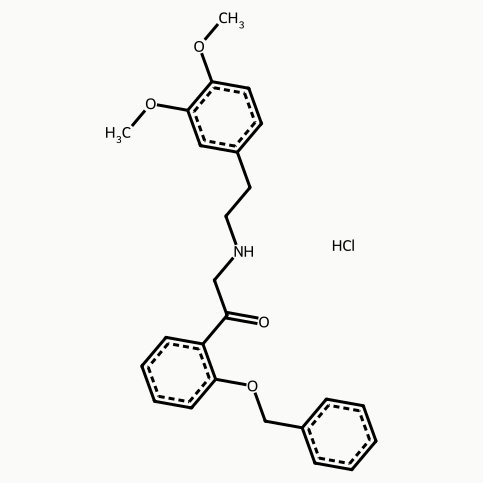 COc1ccc(CCNCC(=O)c2ccccc2OCc2ccccc2)cc1OC.Cl